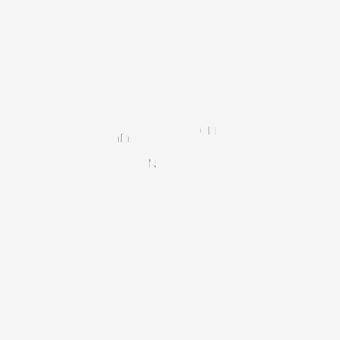 CC(C)N1C=CCC1C